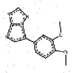 COc1ccc(-c2cnc3scnn23)cc1OC